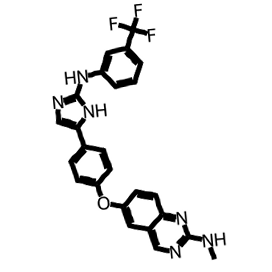 CNc1ncc2cc(Oc3ccc(-c4cnc(Nc5cccc(C(F)(F)F)c5)[nH]4)cc3)ccc2n1